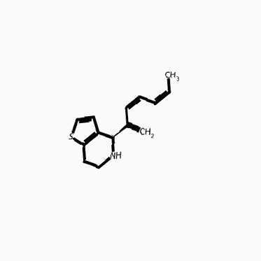 C=C(/C=C\C=C/C)[C@H]1NCCc2sccc21